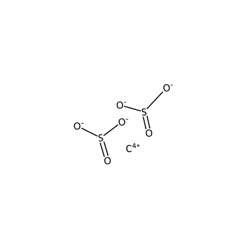 O=S([O-])[O-].O=S([O-])[O-].[C+4]